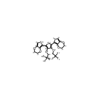 FC(F)(F)COc1c(-c2scc3c2OCCO3)sc(-c2scc3c2OCCO3)c1OCC(F)(F)F